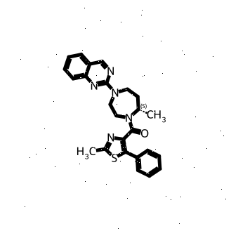 Cc1nc(C(=O)N2CCN(c3ncc4ccccc4n3)CC[C@@H]2C)c(-c2ccccc2)s1